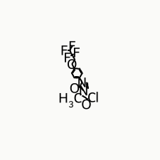 CC(C(=O)Cl)n1ccn(-c2ccc(OCC(F)(F)C(F)F)cc2)c1=O